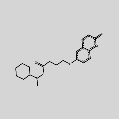 CN(SC(=O)CCCOc1ccc2[nH]c(=O)ccc2c1)C1CCCCC1